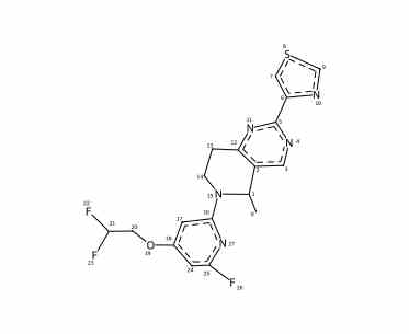 CC1c2cnc(-c3cscn3)nc2CCN1c1cc(OCC(F)F)cc(F)n1